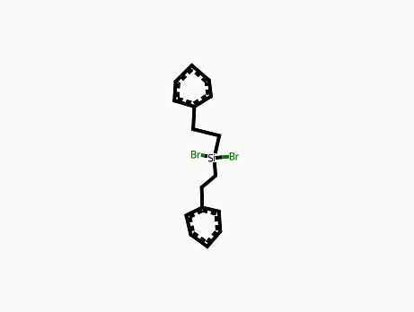 Br[Si](Br)(CCc1ccccc1)CCc1ccccc1